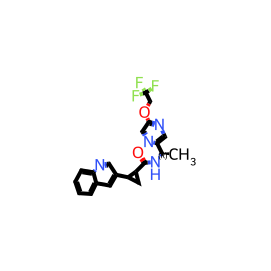 C[C@@H](NC(=O)C1CC1c1cnc2ccccc2c1)c1cnc(OCC(F)(F)F)cn1